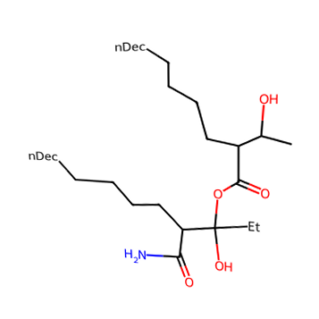 CCCCCCCCCCCCCCC(C(=O)OC(O)(CC)C(CCCCCCCCCCCCCC)C(N)=O)C(C)O